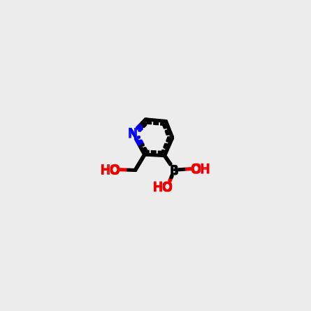 OCc1ncccc1B(O)O